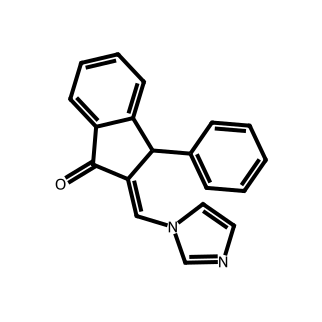 O=C1/C(=C/n2ccnc2)C(c2ccccc2)c2ccccc21